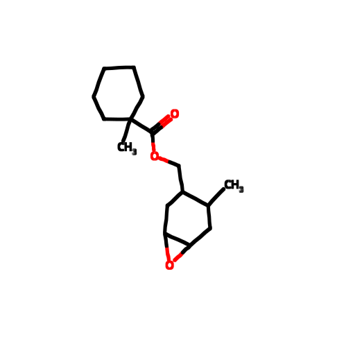 CC1CC2OC2CC1COC(=O)C1(C)CCCCC1